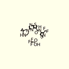 Cn1cc(NC(=O)c2csc3ncc(N4CCNCC5(CC5)C4)nc23)c(C(F)F)n1.O=C(O)C(F)(F)F